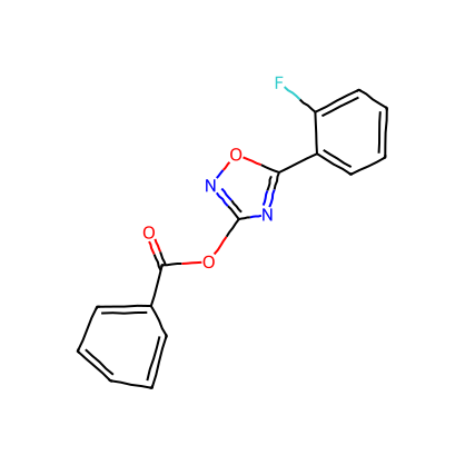 O=C(Oc1noc(-c2ccccc2F)n1)c1ccccc1